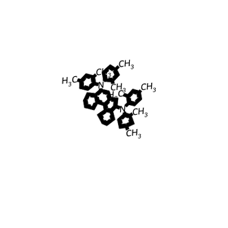 Cc1ccc(N(c2ccc(C)cc2C)c2cc3cc(N(c4ccc(C)cc4C)c4ccc(C)cc4C)c4ccccc4c3c3ccccc23)c(C)c1